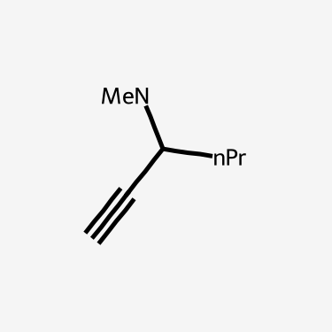 C#CC(CC[CH2])NC